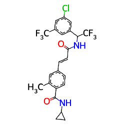 Cc1cc(/C=C/C(=O)NC(c2cc(Cl)cc(C(F)(F)F)c2)C(F)(F)F)ccc1C(=O)NC1CC1